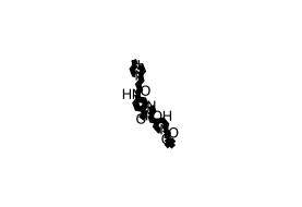 CN1CCN(CCC(=O)Nc2ccc3c(=O)n(CC4(O)CCN(C(=O)OC(C)(C)C)CC4)cnc3c2)CC1